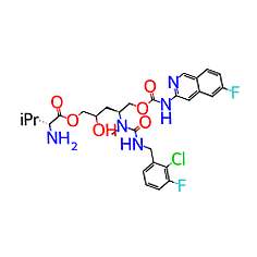 CC(C)[C@@H](N)C(=O)OCC(O)C[C@@H](COC(=O)Nc1cc2cc(F)ccc2cn1)N(C)C(=O)NCc1cccc(F)c1Cl